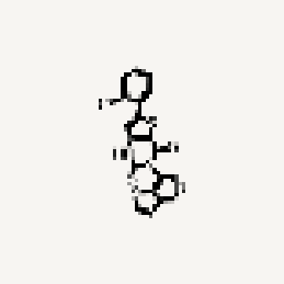 O=c1[nH]c2cc(-c3ccccc3Cl)sc2c(=O)n1-c1cncc2ccsc12